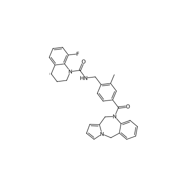 Cc1cc(C(=O)N2Cc3cccn3Cc3ccccc32)ccc1CNC(=O)N1CC[C]c2cccc(F)c21